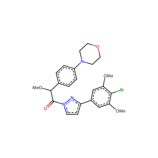 COc1cc(-c2ccn(C(=O)C(OC)c3ccc(N4CCOCC4)cc3)n2)cc(OC)c1Br